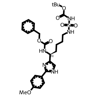 COc1ccc(-c2nc([C@H](CCCCNS(=O)(=O)NC(=O)OC(C)(C)C)NC(=O)OCc3ccccc3)c[nH]2)cc1